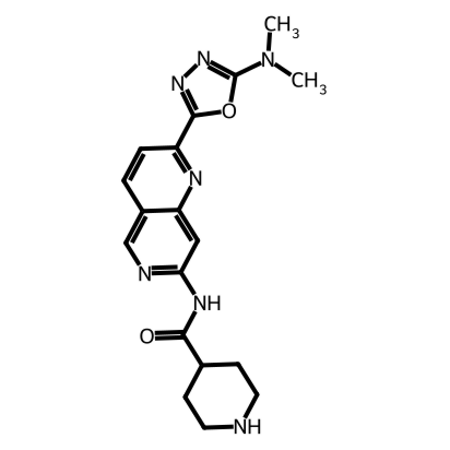 CN(C)c1nnc(-c2ccc3cnc(NC(=O)C4CCNCC4)cc3n2)o1